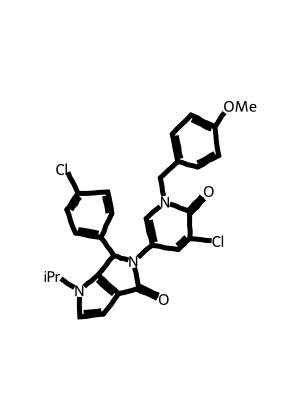 COc1ccc(Cn2cc(N3C(=O)c4ccn(C(C)C)c4C3c3ccc(Cl)cc3)cc(Cl)c2=O)cc1